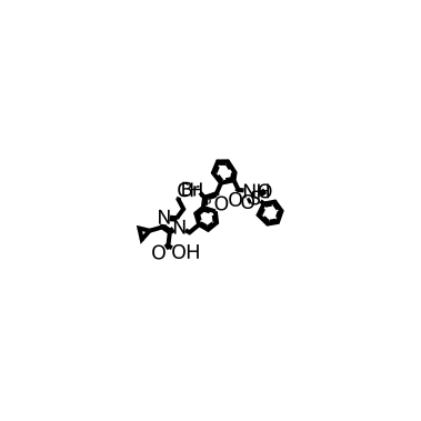 CCCc1nc(C2CC2)c(C(=O)O)n1Cc1ccc2oc(-c3ccccc3C(=O)NS(=O)(=O)c3ccccc3)c(Br)c2c1